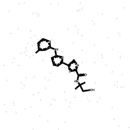 Cc1ccnc(Nc2cccc(-c3cnc(C(=O)NC(C)(C)CO)s3)n2)c1